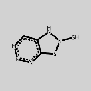 SN1Nc2cnnnc2S1